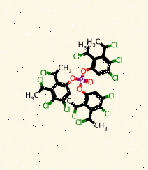 CC(Cl)c1c(OP(=O)(Oc2cc(Cl)c(Cl)c(C(C)Cl)c2C(C)Cl)Oc2cc(Cl)c(Cl)c(C(C)Cl)c2C(C)Cl)cc(Cl)c(Cl)c1C(C)Cl